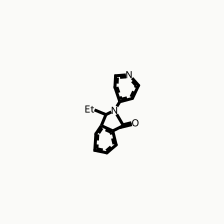 CCC1c2ccccc2C(=O)N1c1ccncc1